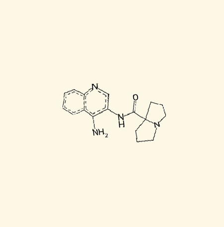 Nc1c(NC(=O)C23CCCN2CCC3)cnc2ccccc12